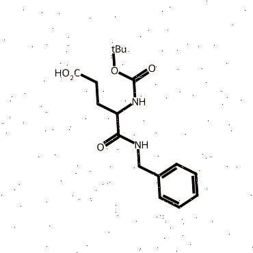 CC(C)(C)OC(=O)NC(CCC(=O)O)C(=O)NCc1ccccc1